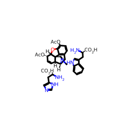 CC(=O)Oc1ccc2c3c1O[C@H]1[C@@H](OC(C)=O)C=C[C@H]4[C@@H](C2)N(C)CC[C@@]341.N[C@H](Cc1c[nH]c2ccccc12)C(=O)O.N[C@H](Cc1cnc[nH]1)C(=O)O